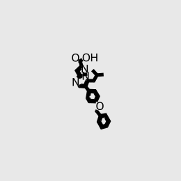 CC(C)Cc1c(-c2ccc(OCc3ccccc3)cc2)cnc2cc(C(=O)O)nn12